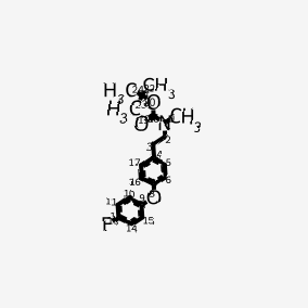 CN(CCc1ccc(Oc2ccc(F)cc2)cc1)C(=O)OC(C)(C)C